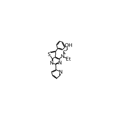 CCN(CCO)c1nc(-c2ccccn2)nc2scc(-c3ccccc3)c12